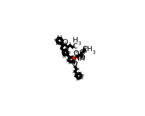 CCCCc1oc2ccccc2c1Cc1ccc(-c2ccc(OCCCc3ccccc3)c(NC(=O)C(=O)OCC)c2)cc1